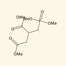 COC(=O)CC(CP(=O)(OC)OC)C(=O)OC